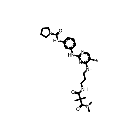 CN(C)C(=O)C(C)(C)C(=O)NCCCNc1nc(Nc2cccc(NC(=O)N3CCCC3)c2)ncc1Br